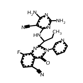 CCC(Nc1nc(N)nc(N)c1C#N)c1nc2c(F)ccc(C#N)c2c(=O)n1-c1cccnc1